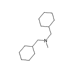 CN(CC1CCCCC1)CC1CCCCC1